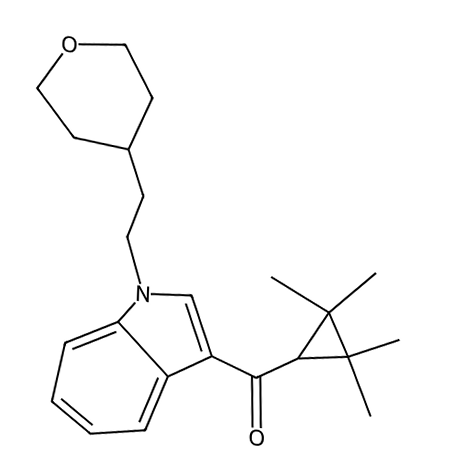 CC1(C)C(C(=O)c2cn(CCC3CCOCC3)c3ccccc23)C1(C)C